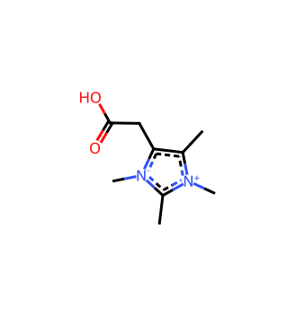 Cc1c(CC(=O)O)n(C)c(C)[n+]1C